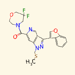 CSCn1nc(-c2coc3ccccc23)c2cnc(C(=O)N3CCOCC(F)(F)C3)cc21